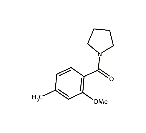 COc1cc(C)ccc1C(=O)N1CCCC1